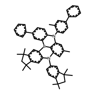 Cc1cc2c3c(c1)N(c1ccc(-c4ccccc4)cc1C)c1ccc(-c4ccccc4)cc1B3c1cc3c(cc1N2c1ccc2c(c1)C(C)(C)CC2(C)C)C(C)(C)CC3(C)C